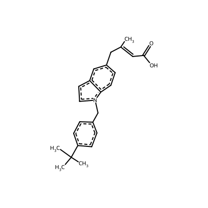 CC(=CC(=O)O)Cc1ccc2c(ccn2Cc2ccc(C(C)(C)C)cc2)c1